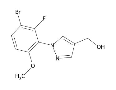 COc1ccc(Br)c(F)c1-n1cc(CO)cn1